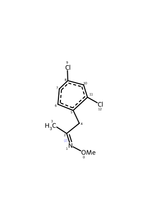 CO/N=C(/C)Cc1ccc(Cl)cc1Cl